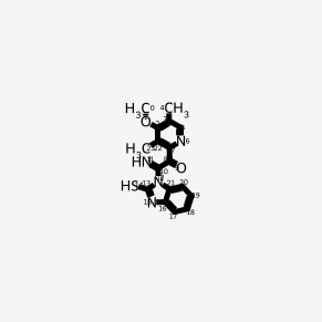 COc1c(C)cnc(C(=O)C(=N)n2c(S)nc3ccccc32)c1C